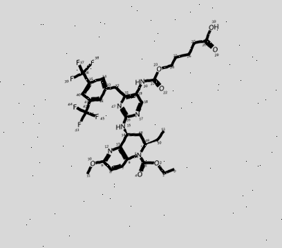 CCOC(=O)N1c2ccc(OC)nc2[C@@H](Nc2ncc(NC(=O)OCCCCC(=O)O)c(Cc3cc(C(F)(F)F)cc(C(F)(F)F)c3)n2)C[C@H]1CC